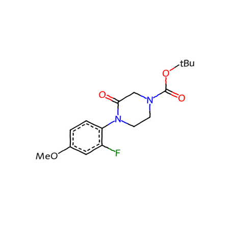 COc1ccc(N2CCN(C(=O)OC(C)(C)C)CC2=O)c(F)c1